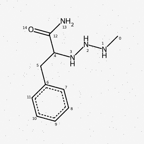 CNNNC(Cc1ccccc1)C(N)=O